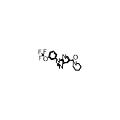 O=C(c1cnc2c(c1)ncn2-c1cccc(OC(F)(F)F)c1)N1CCCCC1